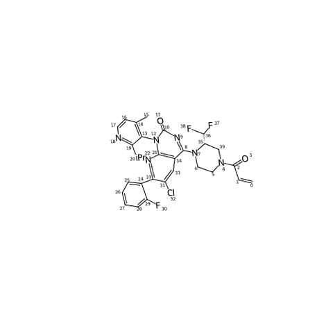 C=CC(=O)N1CCN(c2nc(=O)n(-c3c(C)ccnc3C(C)C)c3nc(-c4ccccc4F)c(Cl)cc23)[C@H](C(F)F)C1